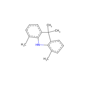 Cc1cccc2c1Nc1c(C)cccc1C2(C)C